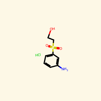 Cl.Nc1cccc(S(=O)(=O)CCO)c1